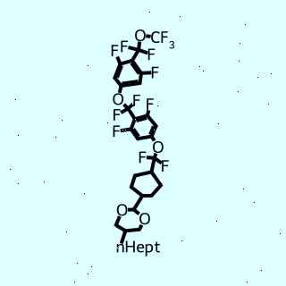 CCCCCCCC1COC(C2CCC(C(F)(F)Oc3cc(F)c(C(F)(F)Oc4cc(F)c(C(F)(F)OC(F)(F)F)c(F)c4)c(F)c3)CC2)OC1